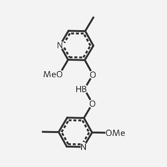 COc1ncc(C)cc1OBOc1cc(C)cnc1OC